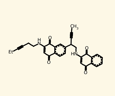 CC#CC(CNC1=CC(=O)c2ccccc2C1=O)c1ccc2c(c1)C(=O)C(NCCC#CCC)=CC2=O